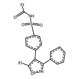 CCC(=O)NS(=O)(=O)c1ccc(-c2c(-c3ccccc3)noc2CC)cc1